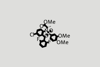 COC(=O)[C@H](C)N(c1ccc(Cl)cc1Cc1c(F)cccc1F)S(=O)(=O)c1ccc(OC)c(OC)c1